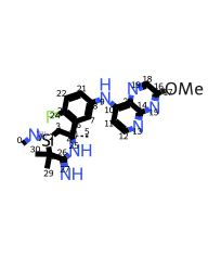 C/N=[Si]1/C[C@@](C)(c2cc(Nc3ccnc4nc(OC)cnc34)ccc2F)NC(=N)C1(C)C